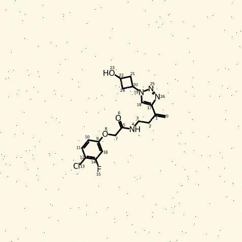 C=C(CCNC(=O)COc1ccc(Cl)c(F)c1)c1cn(C2CC(O)C2)nn1